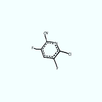 N#Cc1nc(Cl)c(F)cc1F